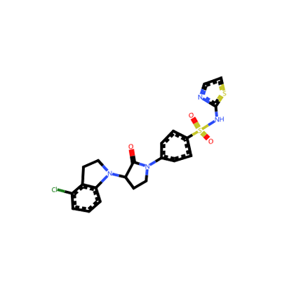 O=C1C(N2CCc3c(Cl)cccc32)CCN1c1ccc(S(=O)(=O)Nc2nccs2)cc1